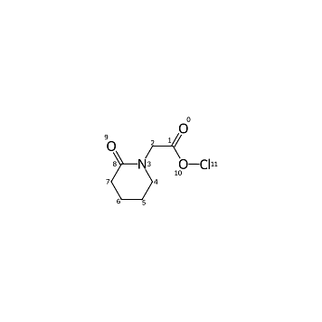 O=C(CN1CCCCC1=O)OCl